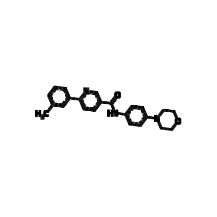 Cc1cccc(-c2ccc(C(=O)Nc3ccc(N4CCOCC4)cc3)cn2)c1